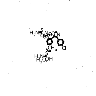 C.C=CC.NC(O)=S.NC(O)=S.NS(=O)(=O)c1ccccc1-c1ocnc1-c1ccc(Cl)cc1.O